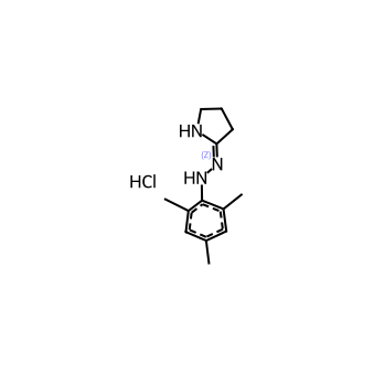 Cc1cc(C)c(N/N=C2/CCCN2)c(C)c1.Cl